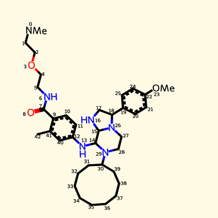 CNCCOCCNC(=O)c1ccc(NC2C3NCC(c4ccc(OC)cc4)N3CCN2C2CCCCCCCCC2)cc1C